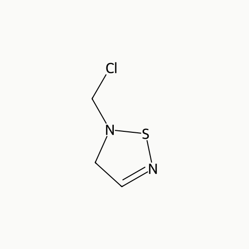 ClCN1CC=NS1